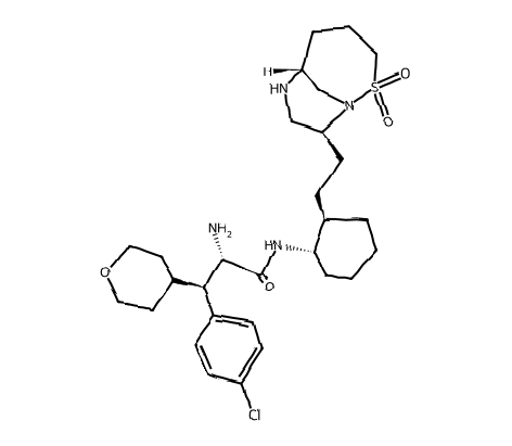 N[C@H](C(=O)N[C@H]1CCCC[C@@H]1CC[C@H]1CN[C@@H]2CCCS(=O)(=O)N1C2)[C@@H](c1ccc(Cl)cc1)C1CCOCC1